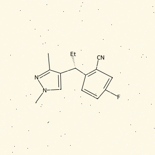 CC[C@H](c1ccc(F)cc1C#N)c1cn(C)nc1C